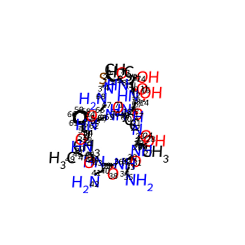 Cc1scnc1C(=O)N[C@H](C(=O)N[C@H](CO)C(=O)N[C@H]1CCNC(=O)[C@H]([C@@H](C)O)NC(=O)[C@H](CCN)NC(=O)[C@H](CCN)NC(=O)[C@H](CC(C)C)NC(=O)[C@@H](Cc2ccccc2)NC(=O)[C@H](CCN)NC1=O)[C@@H](C)O